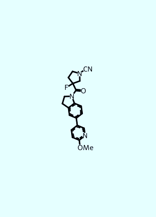 COc1ccc(-c2ccc3c(c2)CCN3C(=O)C2(F)CCN(C#N)C2)cn1